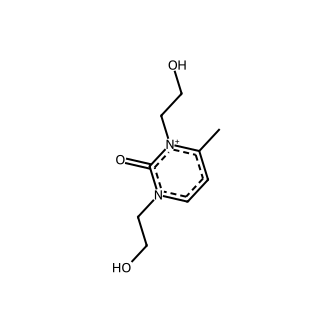 Cc1ccn(CCO)c(=O)[n+]1CCO